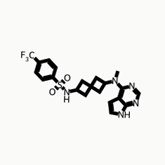 CN(c1ncnc2[nH]ccc12)C1CC2(CC(NS(=O)(=O)c3ccc(C(F)(F)F)cc3)C2)C1